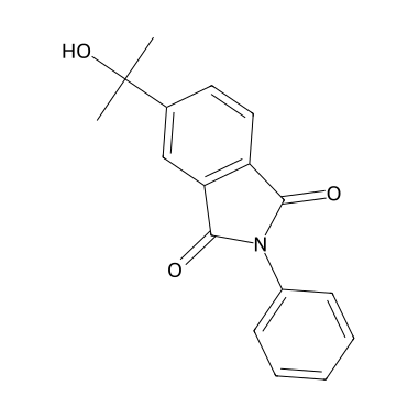 CC(C)(O)c1ccc2c(c1)C(=O)N(c1ccccc1)C2=O